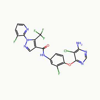 Nc1ncnc(Oc2ccc(NC(=O)c3cnn(-c4ncccc4F)c3C(F)(F)F)cc2F)c1Cl